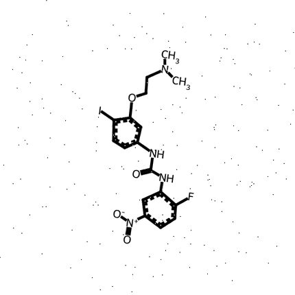 CN(C)CCOc1cc(NC(=O)Nc2cc([N+](=O)[O-])ccc2F)ccc1I